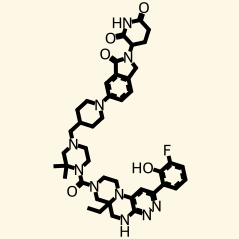 CCC12CNc3nnc(-c4cccc(F)c4O)cc3N1CCN(C(=O)N1CCN(CC3CCN(c4ccc5c(c4)C(=O)N(C4CCC(=O)NC4=O)C5)CC3)CC1(C)C)C2